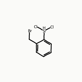 Cl[SiH](Cl)c1ccccc1CBr